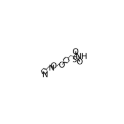 O=C1NC(=O)C(Cc2ccc(OCCO/N=C/c3cccnc3)cc2)S1